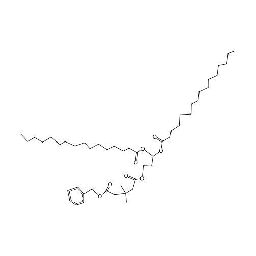 CCCCCCCCCCCCCCCC(=O)OC(CCOC(=O)CC(C)(C)CC(=O)OCc1ccccc1)OC(=O)CCCCCCCCCCCCCCC